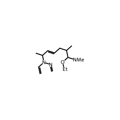 C=CN(N=C)C(C)/C=C/CC(C)C(NC)OCC